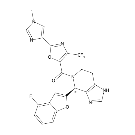 Cn1cnc(-c2nc(C(F)(F)F)c(C(=O)N3CCc4[nH]cnc4[C@H]3c3cc4c(F)cccc4o3)o2)c1